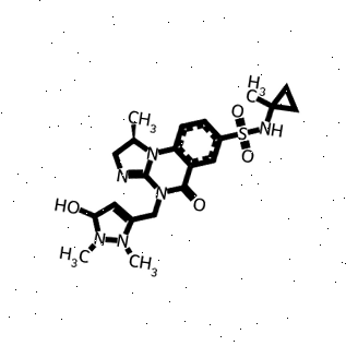 C[C@@H]1CN=C2N(CC3=CC(O)N(C)N3C)C(=O)c3cc(S(=O)(=O)NC4(C)CC4)ccc3N21